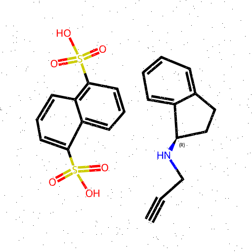 C#CCN[C@@H]1CCc2ccccc21.O=S(=O)(O)c1cccc2c(S(=O)(=O)O)cccc12